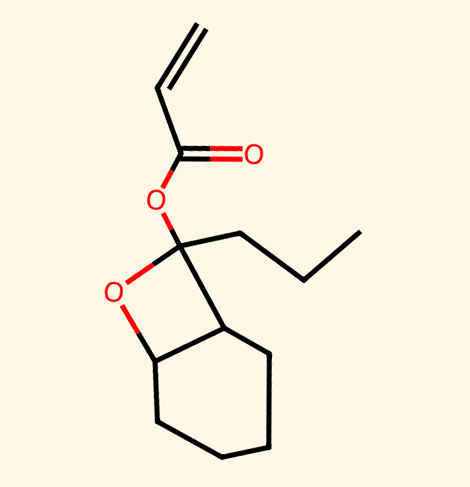 C=CC(=O)OC1(CCC)OC2CCCCC21